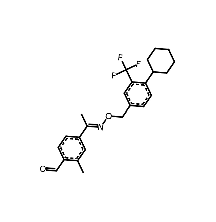 C/C(=N\OCc1ccc(C2CCCCC2)c(C(F)(F)F)c1)c1ccc(C=O)c(C)c1